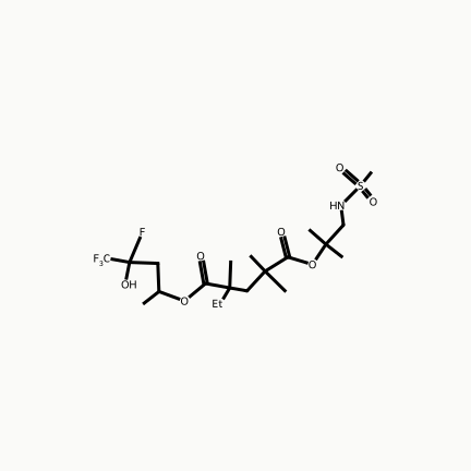 CCC(C)(CC(C)(C)C(=O)OC(C)(C)CNS(C)(=O)=O)C(=O)OC(C)CC(O)(F)C(F)(F)F